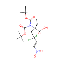 CC[C@](CC(F)(F)C=C[N+](=O)[O-])(C(=O)O)N(C(=O)OC(C)(C)C)C(=O)OC(C)(C)C